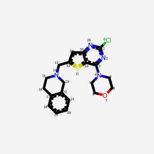 Clc1nc(N2CCOCC2)c2sc(CN3CCc4ccccc4C3)cc2n1